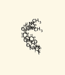 CNC(=O)c1c(-c2ccc(F)cc2)oc2ccc(-c3cc(C(=O)NC4(c5nc(C)cc(C)n5)CC4)ccc3C)c(F)c12